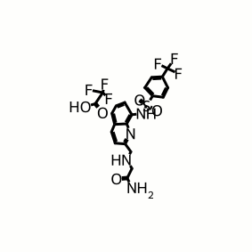 NC(=O)CNCc1ccc2cccc(NS(=O)(=O)c3ccc(C(F)(F)F)cc3)c2n1.O=C(O)C(F)(F)F